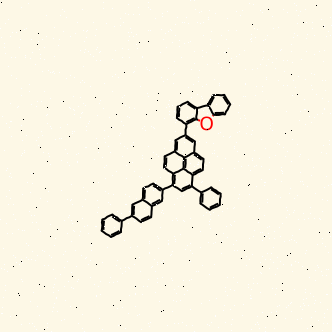 c1ccc(-c2ccc3cc(-c4cc(-c5ccccc5)c5ccc6cc(-c7cccc8c7oc7ccccc78)cc7ccc4c5c67)ccc3c2)cc1